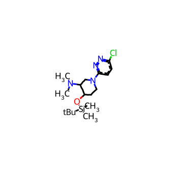 CN(C)C1CN(c2ccc(Cl)nn2)CCC1O[Si](C)(C)C(C)(C)C